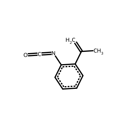 C=C(C)c1ccccc1N=C=O